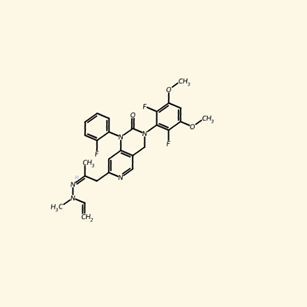 C=CN(C)/N=C(/C)Cc1cc2c(cn1)CN(c1c(F)c(OC)cc(OC)c1F)C(=O)N2c1ccccc1F